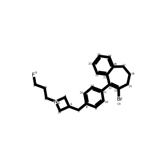 FCCCN1CC(Cc2ccc(C3=C(Br)CCCc4ccccc43)cc2)C1